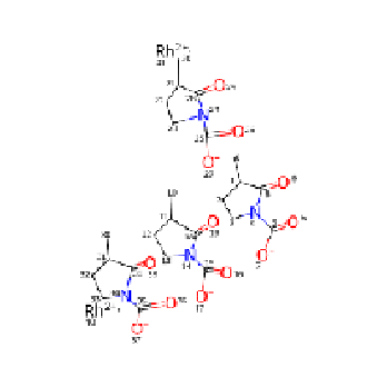 CC1CCN(C(=O)[O-])C1=O.CC1CCN(C(=O)[O-])C1=O.CC1CCN(C(=O)[O-])C1=O.CC1CCN(C(=O)[O-])C1=O.[Rh+2].[Rh+2]